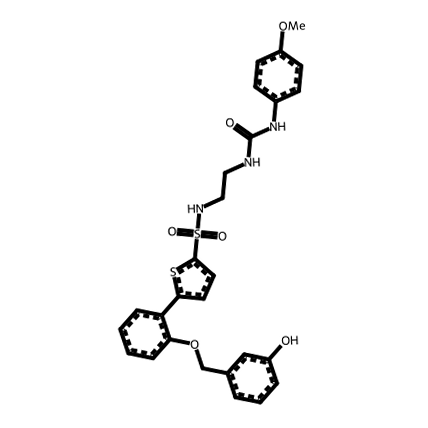 COc1ccc(NC(=O)NCCNS(=O)(=O)c2ccc(-c3ccccc3OCc3cccc(O)c3)s2)cc1